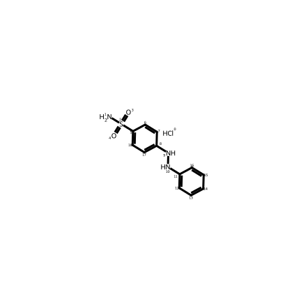 Cl.NS(=O)(=O)c1ccc(NNc2ccccc2)cc1